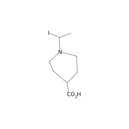 CC(I)N1CCC(C(=O)O)CC1